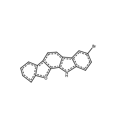 Brc1ccc2[nH]c3c(ccc4c5ccccc5oc43)c2c1